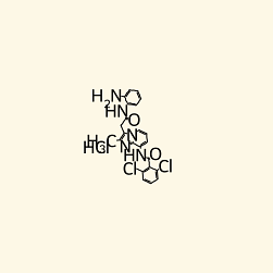 Cc1nc2c(NC(=O)c3c(Cl)cccc3Cl)cccn2c1CC(=O)Nc1ccccc1N.Cl